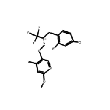 COc1cc(I)c(OC[C@@H](Cc2ccc(Cl)cc2Br)C(F)(F)F)cn1